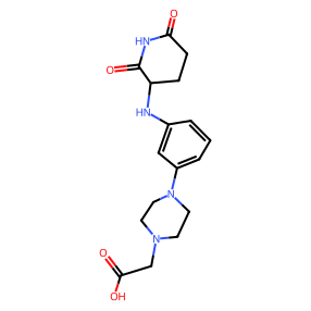 O=C(O)CN1CCN(c2cccc(NC3CCC(=O)NC3=O)c2)CC1